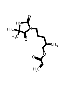 C=CC(=O)OCC(C)CCCN1C(=O)NC(C)(C)C1=O